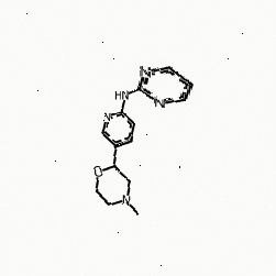 CN1CCOC(c2ccc(Nc3ncccn3)nc2)C1